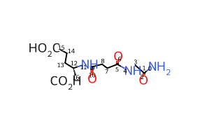 NC(=O)CNC(=O)CCC(=O)N[C@H](CCC(=O)O)C(=O)O